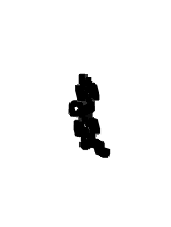 CCCC(C)N1CCN(C(=O)CN2CCN(C)CC2)CC1